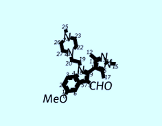 COc1ccc2c(c1)c(C=O)c(-c1c(C)nn(C)c1C)n2CCN1CCN(C)CC1